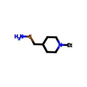 CCN1CCC(CSN)CC1